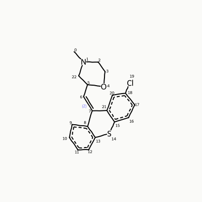 CN1CCOC(/C=C2/c3ccccc3Sc3ccc(Cl)cc32)C1